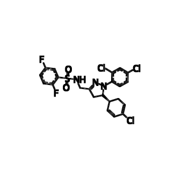 O=S(=O)(NCC1=NN(c2ccc(Cl)cc2Cl)C([C@@H]2C=CC(Cl)=CC2)C1)c1cc(F)ccc1F